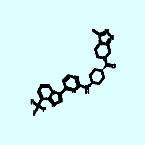 Cc1nnc2n1CCN(C(=O)[C@H]1CC[C@H](Nc3nccc(-c4cnc5c(C(F)(F)F)cccn45)n3)CC1)C2